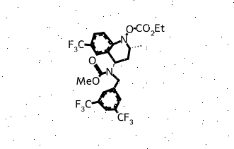 CCOC(=O)ON1c2ccc(C(F)(F)F)cc2[C@@H](N(Cc2cc(C(F)(F)F)cc(C(F)(F)F)c2)C(=O)OC)C[C@H]1C